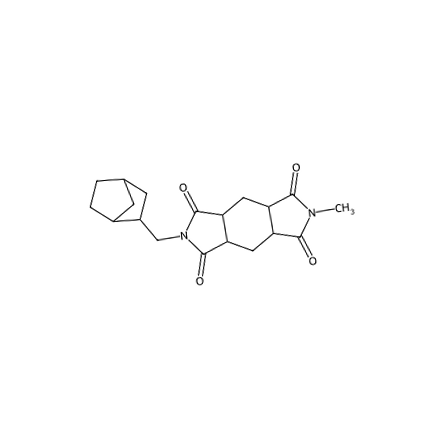 CN1C(=O)C2CC3C(=O)N(CC4CC5CCC4C5)C(=O)C3CC2C1=O